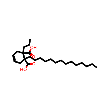 CCCCCCCCCCCCCCC1(C(=O)O)CC=CCC1(CCC)C(=O)O